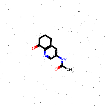 CC(=O)Nc1cnc2c(c1)CCCC2=O